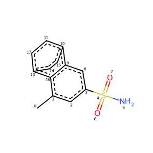 Cc1cc(S(N)(=O)=O)cc2c3ccc(cc3)c12